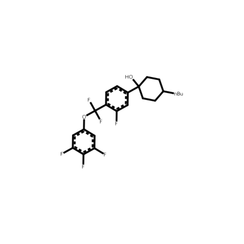 CCCCC1CCC(O)(c2ccc(C(F)(F)Oc3cc(F)c(F)c(F)c3)c(F)c2)CC1